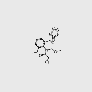 CCc1cccc(CC)c1N(COC)C(=O)CCl.c1nnn[nH]1